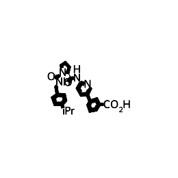 CC(C)c1ccc(CNC(=O)N2CCC[C@@H]2C(=O)Nc2ccc(-c3cccc(C(=O)O)c3)cn2)cc1